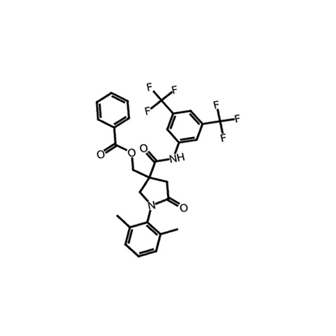 Cc1cccc(C)c1N1CC(COC(=O)c2ccccc2)(C(=O)Nc2cc(C(F)(F)F)cc(C(F)(F)F)c2)CC1=O